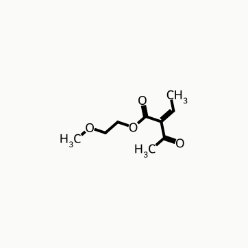 CC=C(C(C)=O)C(=O)OCCOC